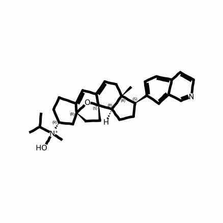 CC(C)[N+](C)(O)[C@@H]1CCC2=CC3=CC[C@]4(C)[C@@H](c5ccc6ccncc6c5)CC[C@H]4[C@@]34CC[C@]2(C1)O4